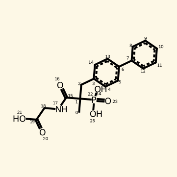 CC(Cc1ccc(-c2ccccc2)cc1)(C(=O)NCC(=O)O)P(=O)(O)O